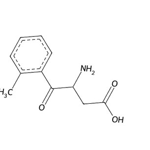 Cc1ccccc1C(=O)C(N)CC(=O)O